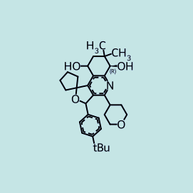 CC(C)(C)c1ccc(C2OC3(CCCC3)c3c4c(nc(C5CCOCC5)c32)[C@H](O)C(C)(C)CC4O)cc1